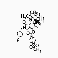 CC(C)[Si](Oc1c2c(c(OC(=O)N3CCN(S(C)(=O)=O)CC3)c3cccnc13)CN(Cc1ccc(F)cc1)C2=O)(C(C)C)C(C)C